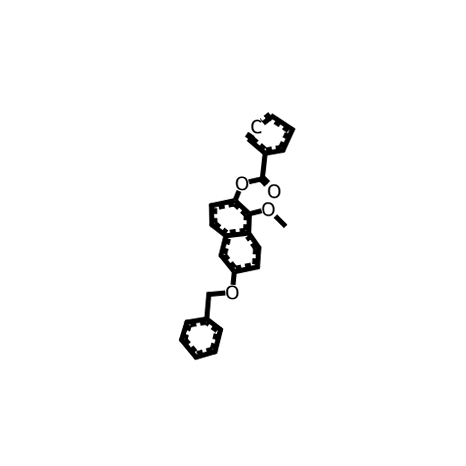 COc1c(OC(=O)c2ccccc2)ccc2cc(OCc3ccccc3)ccc12